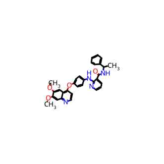 COc1cc2nccc(Oc3ccc(Nc4ncccc4C(=O)NC(C)c4ccccc4)cc3)c2cc1OC